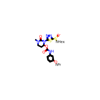 CCCCCC[S+]([O-])c1nnc(N2C(=O)N(C)CCC2OC(=O)Nc2cccc(OCCC)c2)s1